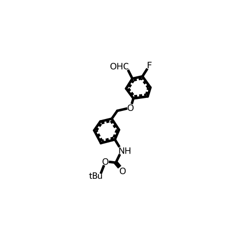 CC(C)(C)OC(=O)Nc1cccc(COc2ccc(F)c(C=O)c2)c1